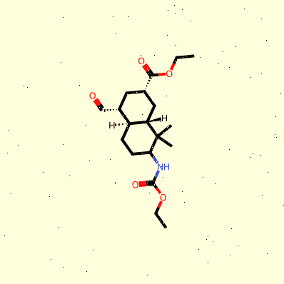 CCOC(=O)NC1CC[C@H]2[C@H](C=O)C[C@H](C(=O)OCC)C[C@@H]2C1(C)C